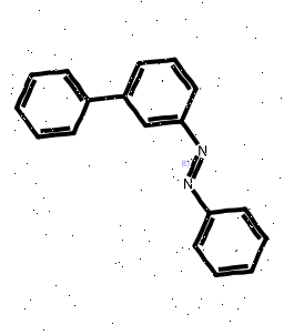 [c]1ccccc1/N=N/c1[c]ccc(-c2ccccc2)c1